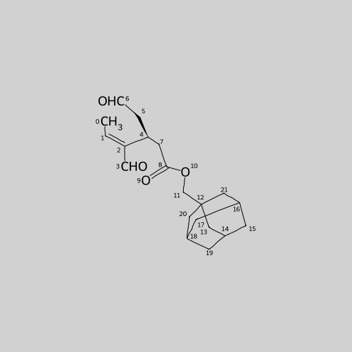 C/C=C(/C=O)[C@@H](CC=O)CC(=O)OCC12CC3CC(CC(C3)C1)C2